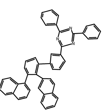 c1ccc(-c2nc(-c3ccccc3)nc(-c3cccc(-c4cccc(-c5cccc6ccccc56)c4-c4ccc5ccccc5c4)c3)n2)cc1